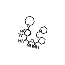 CNc1nc(N2CCCCCCC2)ccc1C(=N)C(=N)OC(=N)C1CCCCN1CCN1CCCCC1